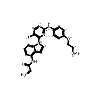 C=CC(=O)Nc1cccc2c1ccn2-c1nc(Nc2ccc(OCCOC)cc2)ncc1F